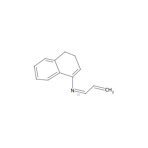 C=C/C=N\C1=CCCc2ccccc21